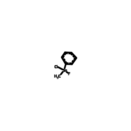 [CH3][Sn]([F])([Cl])[c]1ccccc1